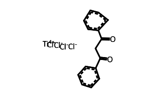 O=C(CC(=O)c1ccccc1)c1ccccc1.[Cl-].[Cl-].[Cl-].[Cl-].[Ti+4]